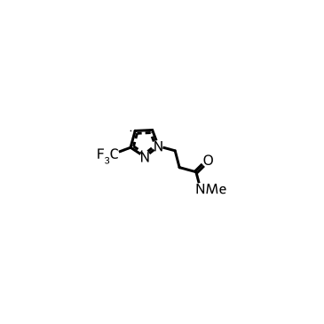 CNC(=O)CCn1c[c]c(C(F)(F)F)n1